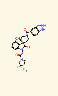 Cc1cccc2c1C1(CCN(C(=O)c3ccc4c(c3)CNN4)CC1)C(=O)N2CC(=O)N1CCC(C)(F)C1